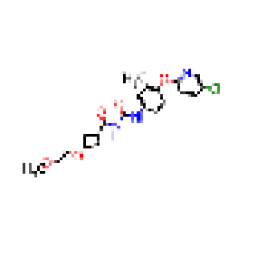 COCCOC1CC(C(=O)NC(=O)Nc2ccc(Oc3ccc(Cl)cn3)c(C)c2)C1